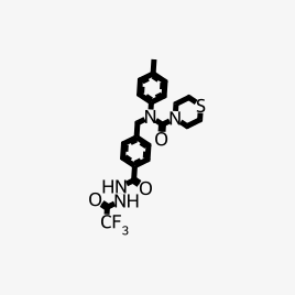 Cc1ccc(N(Cc2ccc(C(=O)NNC(=O)C(F)(F)F)cc2)C(=O)N2CCSCC2)cc1